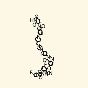 N#Cc1c(NS(=O)(=O)N2CC[C@@H](F)C2)ccc(F)c1Oc1ccc2ncn(-c3ccc(N4CCN(CC5CCN(c6ccc7c(c6)CN(C6CCC(=O)NC6=O)C7=O)CC5)CC4)nc3)c(=O)c2c1